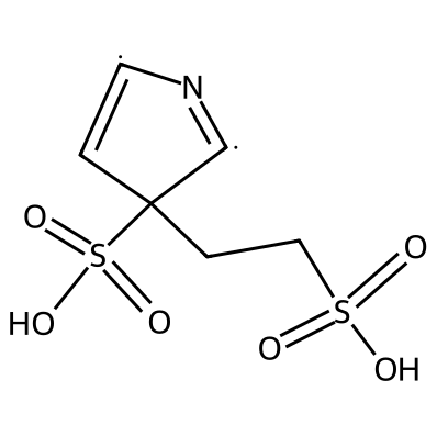 O=S(=O)(O)CCC1(S(=O)(=O)O)[C]=N[C]=C1